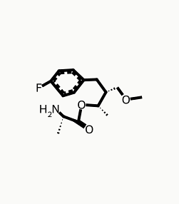 COC[C@@H](Cc1ccc(F)cc1)[C@H](C)OC(=O)[C@H](C)N